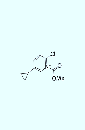 COC(=O)[n+]1cc(C2CC2)ccc1Cl